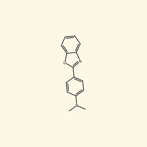 CN(C)c1ccc(-c2nc3c[c]ccc3o2)cc1